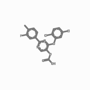 Cc1ccc(-c2ncc(OC(=O)O)c(Oc3cc(Cl)ccc3Cl)n2)cc1F